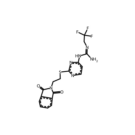 N/C(=N/CC(F)(F)F)Nc1ccnc(SCCN2C(=O)c3ccccc3C2=O)n1